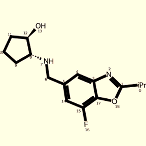 CC(C)c1nc2cc(CN[C@@H]3CCC[C@H]3O)cc(F)c2o1